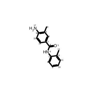 Cc1cc(C(=O)Nc2ccccc2C)ccc1N